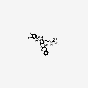 N=C(N)NCCC[C@H](NNS(=O)(=O)c1ccc(F)c(Cl)c1)C(=O)N[C@@H](Cc1ccccc1)C(N)=O